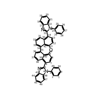 c1ccc(-n2c(-c3ccc4oc5ccc(-c6nc7ccccc7n6-c6ccccc6)c6cccc(c7cccc3c47)c56)nc3ccccc32)cc1